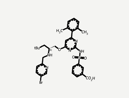 Cc1cccc(C)c1-c1cc(OC[C@@H](CC(C)(C)C)NCc2ccc(Br)cn2)nc(NS(=O)(=O)c2cccc(C(=O)O)c2)n1